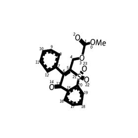 COC(=O)OCC1=C(c2ccccc2)C(=O)c2ccccc2S1(=O)=O